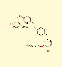 COCCOc1cc(CC2CCN(CCc3ccc4c(c3)C(OC)(OC)C(O)CO4)CC2)ccc1Br